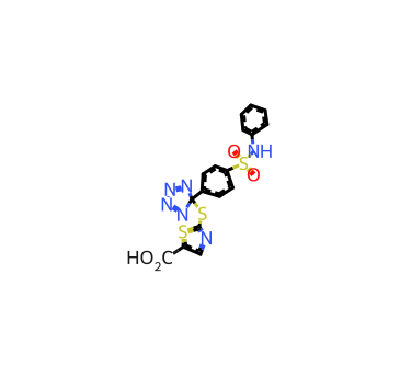 O=C(O)c1cnc(SC2(c3ccc(S(=O)(=O)Nc4ccccc4)cc3)N=NN=N2)s1